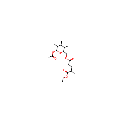 CCOC(=O)C(C)CCC(=O)OCC1OC(OC(C)=O)C(C)C(C)C1C